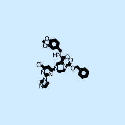 O=C(NCc1ccc2c(c1)OCO2)C1CN(c2cc(Cl)nc(-n3ccnc3)n2)CCN1C(=O)OCc1ccccc1